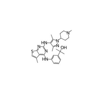 Cc1nn(C2CCN(C)CC2)c(C)c1Nc1nc(Nc2cccc(C(C)(C)O)c2)c2c(C)csc2n1